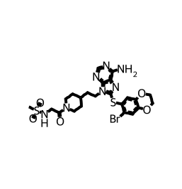 CS(=O)(=O)NCC(=O)N1CCC(CCn2c(Sc3cc4c(cc3Br)OCCO4)nc3c(N)ncnc32)CC1